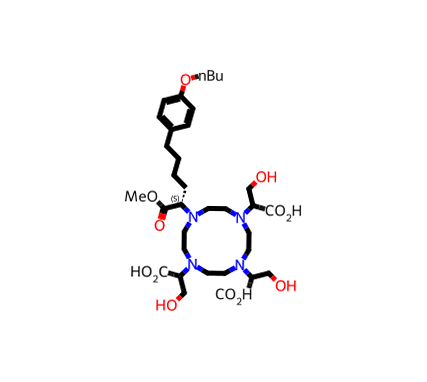 CCCCOc1ccc(CCCC[C@@H](C(=O)OC)N2CCN(C(CO)C(=O)O)CCN(C(CO)C(=O)O)CCN(C(CO)C(=O)O)CC2)cc1